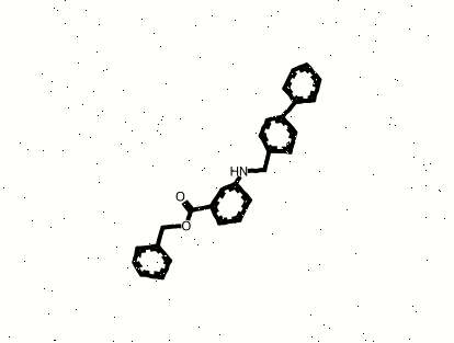 O=C(OCc1ccccc1)c1cccc(NCc2ccc(-c3ccccc3)cc2)c1